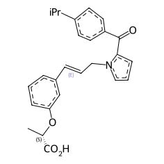 CC(C)c1ccc(C(=O)c2cccn2C/C=C/c2cccc(O[C@@H](C)C(=O)O)c2)cc1